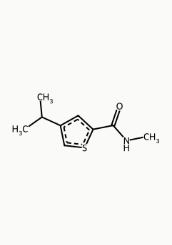 CNC(=O)c1cc(C(C)C)cs1